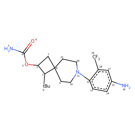 CC(C)(C)C1C(OC(N)=O)CC12CCN(c1ccc(N)cc1C(F)(F)F)CC2